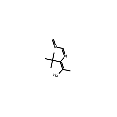 C=N/C=N\C(=C(/C)S)C(C)(C)C